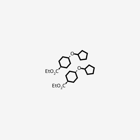 CCOC(=O)[C@H]1CC[C@H](OC2CCCC2)CC1.CCOC(=O)[C@H]1CC[C@H](OC2CCCC2)CC1